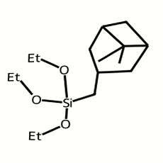 CCO[Si](CC1CC2CC(C1)C2(C)C)(OCC)OCC